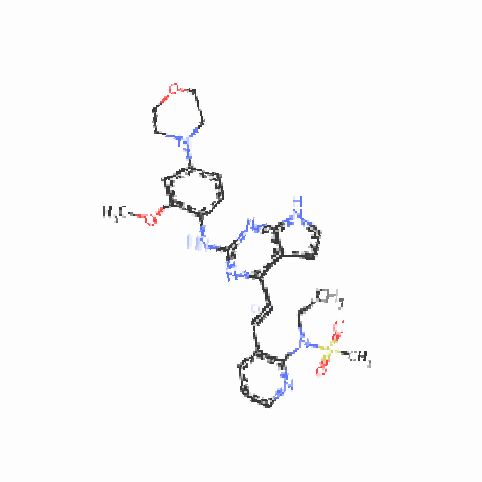 CCN(c1ncccc1/C=C/c1nc(Nc2ccc(N3CCOCC3)cc2OC)nc2[nH]ccc12)S(C)(=O)=O